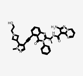 C[C@H](NC(=O)c1c(N)nn2cccnc12)c1nc2cccc(C#Cc3cnn(C)c3C3CN(CCO)C3)c2c(=O)n1-c1ccccc1